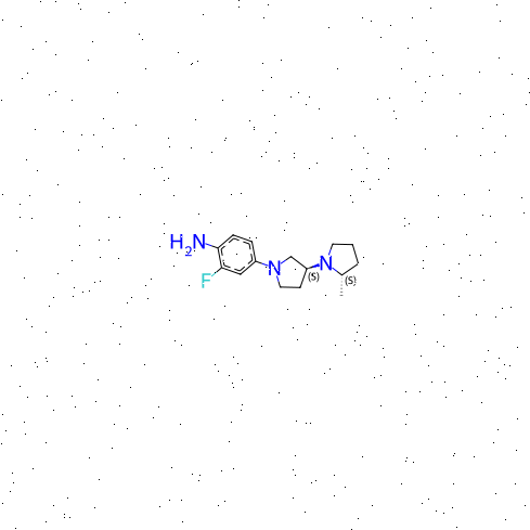 C[C@H]1CCCN1[C@H]1CCN(c2ccc(N)c(F)c2)C1